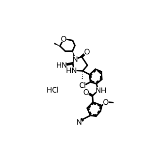 COc1ccc(C#N)cc1C(=O)Nc1cccc([C@]2(C)CC(=O)N([C@@H]3CCO[C@H](C)C3)C(=N)N2)c1Cl.Cl